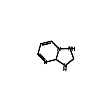 C1=CN2NCNC2N=C1